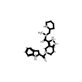 CN(CC1CCCCN1)C(=O)c1[nH]nc2c1CN(C(=O)C1Cc3ccccc3N1)CC2